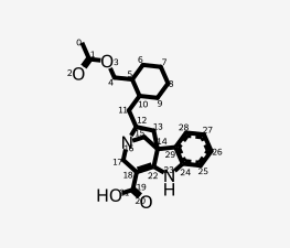 CC(=O)OCC1CCCCC1CC1CC23CN1CC(C(=O)O)=C2Nc1ccccc13